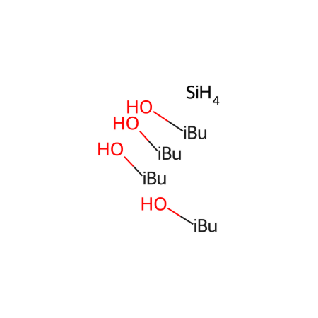 CCC(C)O.CCC(C)O.CCC(C)O.CCC(C)O.[SiH4]